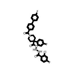 O=C(NNOC(=O)C1(c2ccc(F)cc2)CCN(C(=O)c2ccc(-c3ccc(F)cc3)cc2)CC1)c1ccc(F)cc1Cl